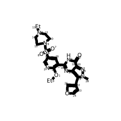 CCOc1ncc(S(=O)(=O)N2CCN(CC)CC2)cc1-c1nc2c(-c3ccoc3)n(C)nc2c(=O)[nH]1